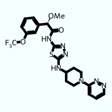 CO[C@H](C(=O)Nc1nnc(NC2CCN(c3cccnn3)CC2)s1)c1cccc(OC(F)(F)F)c1